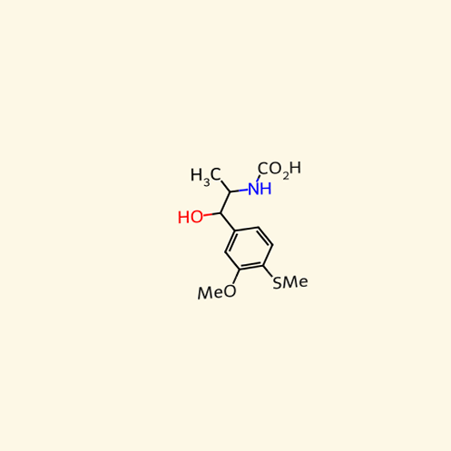 COc1cc(C(O)C(C)NC(=O)O)ccc1SC